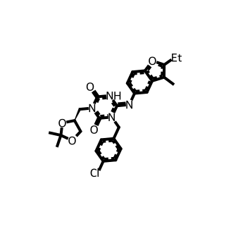 CCc1oc2ccc(/N=c3\[nH]c(=O)n(C[C@H]4COC(C)(C)O4)c(=O)n3Cc3ccc(Cl)cc3)cc2c1C